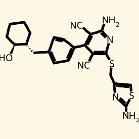 N#Cc1c(N)nc(SCc2csc(N)n2)c(C#N)c1-c1ccc(C[C@H]2CCCC[C@@H]2O)cc1